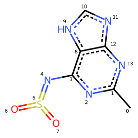 Cc1nc(N=S(=O)=O)c2[nH]cnc2n1